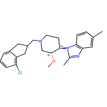 CO[C@@H]1CN(CC2Cc3cccc(Cl)c3C2)CC[C@H]1n1c(C)nc2cc(C)ccc21